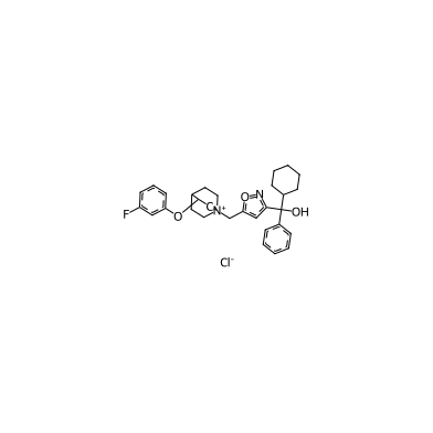 OC(c1ccccc1)(c1cc(C[N+]23CCC(CC2)C(Oc2cccc(F)c2)C3)on1)C1CCCCC1.[Cl-]